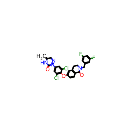 C=C1C=NN(c2cc(Cl)c(Oc3ccc4c(c3)CCN(Cc3cc(F)cc(F)c3)C4=O)c(Cl)c2)C(=O)N1